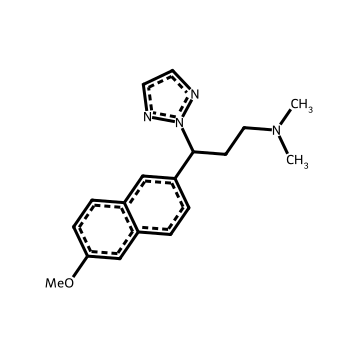 COc1ccc2cc(C(CCN(C)C)n3nccn3)ccc2c1